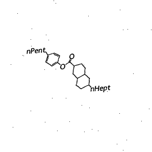 CCCCCCCC1CCC2CC(C(=O)Oc3ccc(CCCCC)cc3)CCC2C1